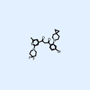 Cc1cc(C(=O)CC(=O)c2ccc(Br)cc2N2CCC3(CC2)CC3)cc(N2CCC(F)(F)CC2)n1